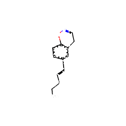 CNCC/C=C/c1ccc2c(c1)CC=NO2